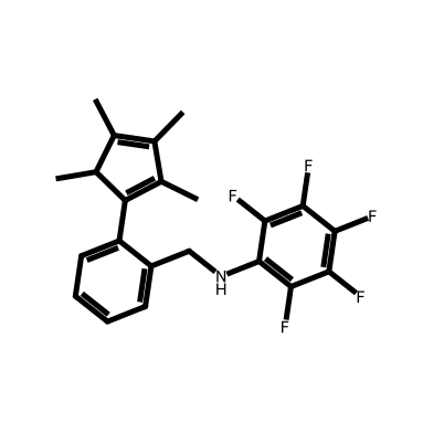 CC1=C(C)C(C)C(c2ccccc2CNc2c(F)c(F)c(F)c(F)c2F)=C1C